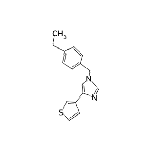 CCc1ccc(Cn2cnc(-c3ccsc3)c2)cc1